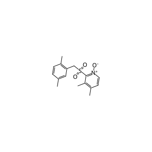 Cc1ccc(C)c(CS(=O)(=O)c2c(C)c(C)cc[n+]2[O-])c1